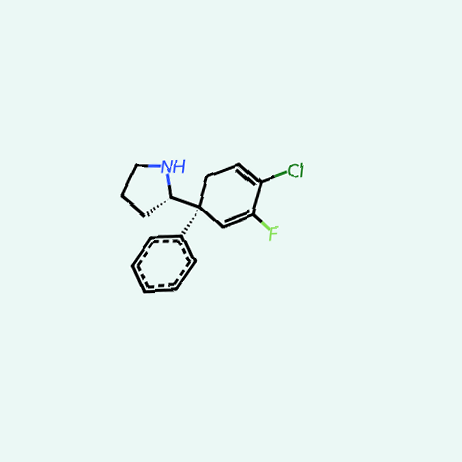 FC1=C[C@@](c2ccccc2)([C@@H]2CCCN2)CC=C1Cl